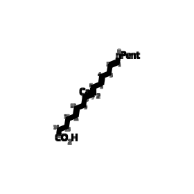 CCCCCC=CCC=CCC=CCC=CCCCC(=O)O.[CaH2]